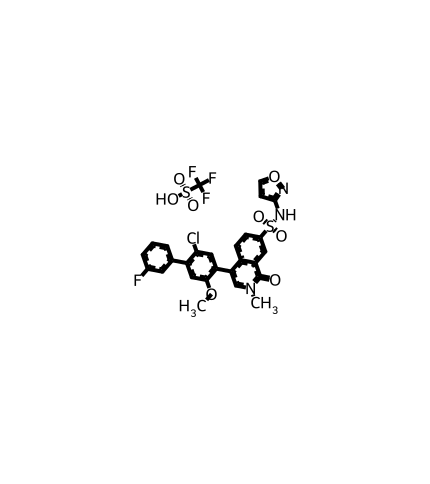 COc1cc(-c2cccc(F)c2)c(Cl)cc1-c1cn(C)c(=O)c2cc(S(=O)(=O)Nc3ccon3)ccc12.O=S(=O)(O)C(F)(F)F